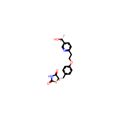 C[C@@H](O)c1ccc(CCOc2ccc(C[C@@H]3SC(=O)NC3=O)cc2)nc1